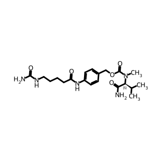 CC(C)[C@@H](C(N)=O)N(C)C(=O)OCc1ccc(NC(=O)CCCCNC(N)=O)cc1